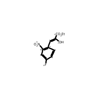 CCOC(=O)C(O)=Cc1ccc(F)cc1[N+](=O)[O-]